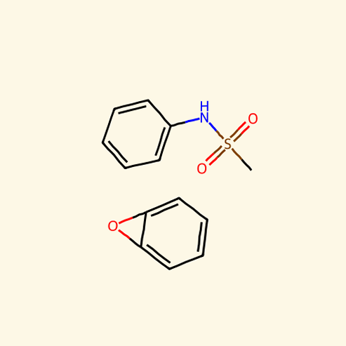 CS(=O)(=O)Nc1ccccc1.c1ccc2c(c1)O2